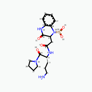 NCCC[C@@H](NC(=O)CC1C(=O)Nc2ccccc2N1[SH](=O)=O)C(=O)N1CCCC1